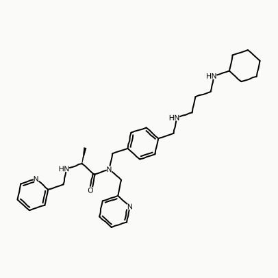 C[C@H](NCc1ccccn1)C(=O)N(Cc1ccc(CNCCCNC2CCCCC2)cc1)Cc1ccccn1